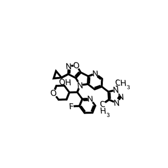 Cc1nnn(C)c1-c1cnc2c3onc(C4(O)CC4)c3n(C(c3ncccc3F)C3CCOCC3)c2c1